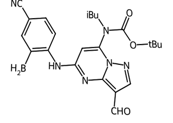 Bc1cc(C#N)ccc1Nc1cc(N(C(=O)OC(C)(C)C)C(C)CC)n2ncc(C=O)c2n1